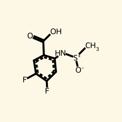 C[S+]([O-])Nc1cc(F)c(F)cc1C(=O)O